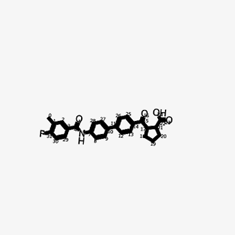 Cc1cc(C(=O)Nc2ccc(-c3ccc(C(=O)C4CCCC4C(=O)O)cc3)cc2)ccc1F